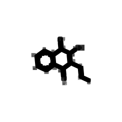 CC=CC1=C(O)C(=O)c2ccccc2C1=O